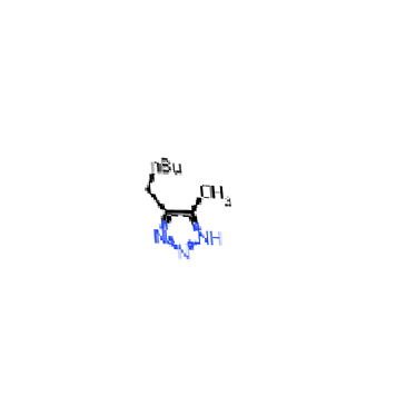 CCCCCc1nn[nH]c1C